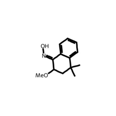 COC1CC(C)(C)c2ccccc2C1=NO